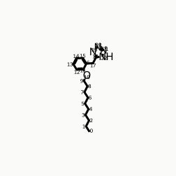 CCCCCCCCCCOc1cc[c]cc1Cc1nnn[nH]1